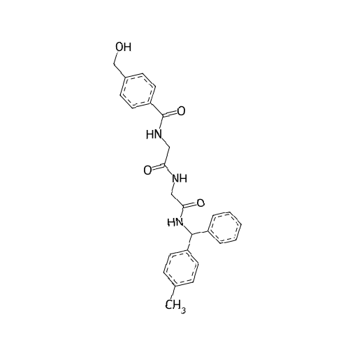 Cc1ccc(C(NC(=O)CNC(=O)CNC(=O)c2ccc(CO)cc2)c2ccccc2)cc1